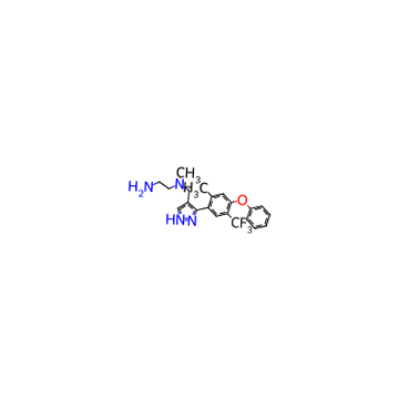 Cc1cc(Oc2ccccc2)c(C(F)(F)F)cc1-c1n[nH]cc1CN(C)CCN